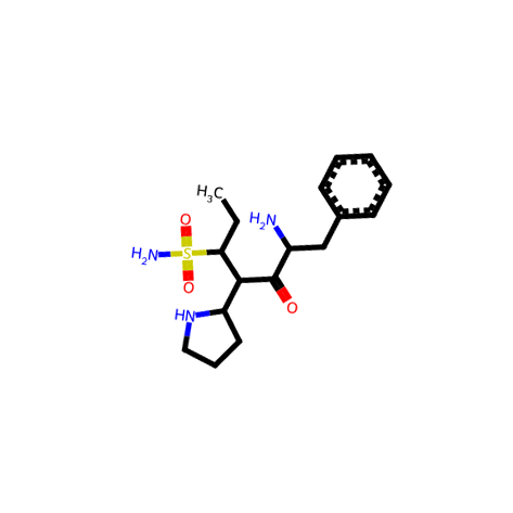 CCC(C(C(=O)C(N)Cc1ccccc1)C1CCCN1)S(N)(=O)=O